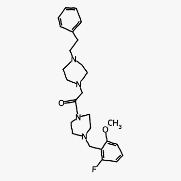 COc1cccc(F)c1CN1CCN(C(=O)CN2CCN(CCc3ccccc3)CC2)CC1